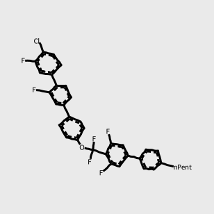 CCCCCc1ccc(-c2cc(F)c(C(F)(F)Oc3ccc(-c4ccc(-c5ccc(Cl)c(F)c5)c(F)c4)cc3)c(F)c2)cc1